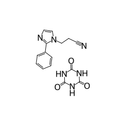 N#CCCn1ccnc1-c1ccccc1.O=c1[nH]c(=O)[nH]c(=O)[nH]1